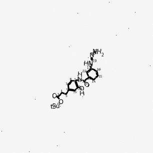 CC(C)(C)OC(=O)CCc1ccc(NC(=O)c2cccc(NC=NN)c2)c(O)c1